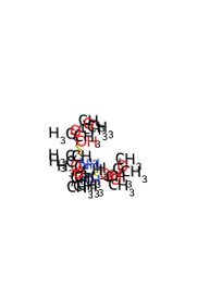 CCOC(C)(C)CCOC(C)(C)CC(O)CSCC[C@H](NC(C)(C)C(C)(C)CC)C(=O)C(C)(C)N[C@@H](CCSCC(O)CC(C)(C)OCCC(C)(C)OC)C(=O)C(C)(C)C